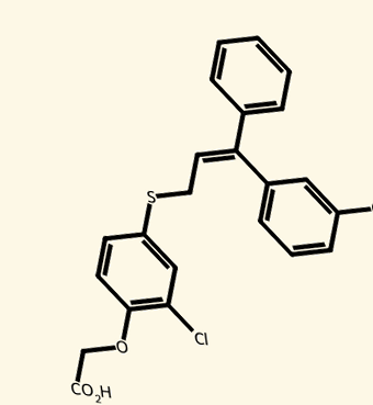 O=C(O)COc1ccc(SCC=C(c2ccccc2)c2cccc(Cl)c2)cc1Cl